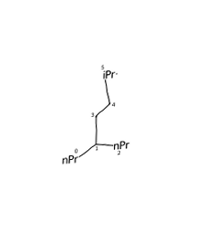 CCCC(CCC)CC[C](C)C